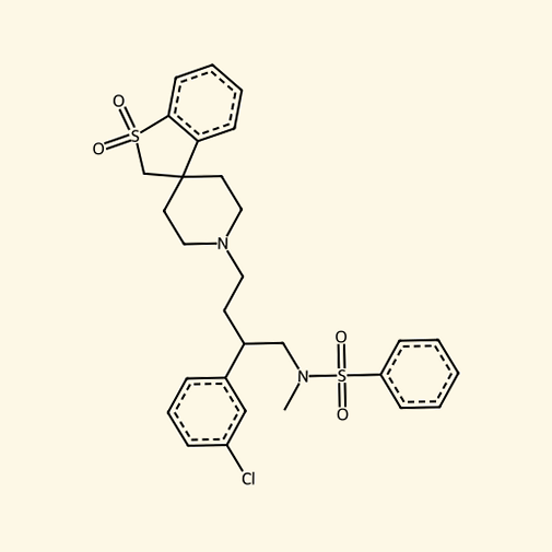 CN(CC(CCN1CCC2(CC1)CS(=O)(=O)c1ccccc12)c1cccc(Cl)c1)S(=O)(=O)c1ccccc1